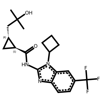 CC(C)(O)C[C@H]1C[C@@H]1C(=O)Nc1nc2ccc(C(F)(F)F)cc2n1C1CCC1